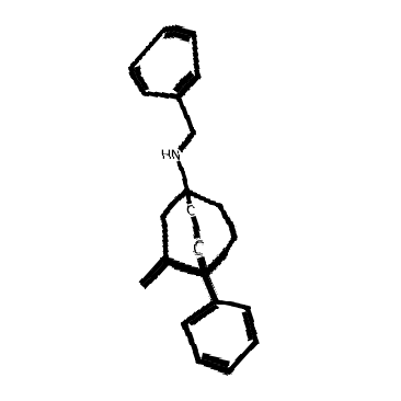 C=C1CC2(NCc3ccccc3)CCC1(c1ccccc1)CC2